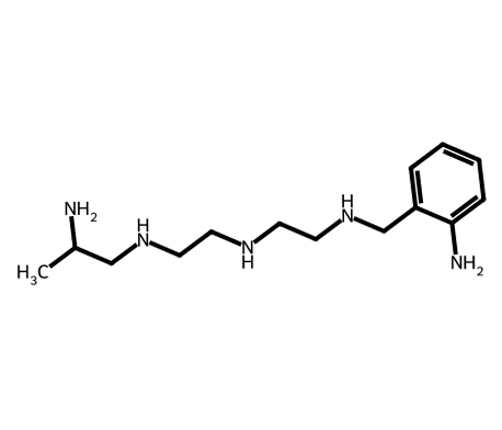 CC(N)CNCCNCCNCc1ccccc1N